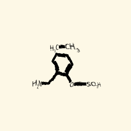 CC.NCc1ccccc1OS(=O)(=O)O